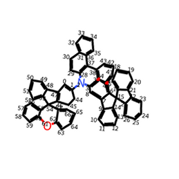 C1=C(N(c2ccc3c(c2)-c2ccccc2C32c3ccccc3-c3ccccc32)c2ccc3ccccc3c2-c2ccccc2)CCC2=C1c1ccccc1C21c2ccccc2Oc2ccccc21